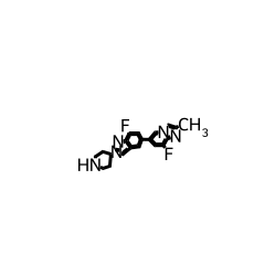 Cc1cn2cc(-c3cc(F)c4nn(C5CCNCC5)cc4c3)cc(F)c2n1